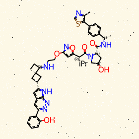 Cc1ncsc1-c1ccc([C@H](C)NC(=O)[C@@H]2C[C@@H](O)CN2C(=O)[C@@H](c2cc(OCCN[C@@H]3CC[C@]34C[C@@H](c3cc5cc(-c6ccccc6O)nnc5[nH]3)C4)no2)C(C)C)cc1